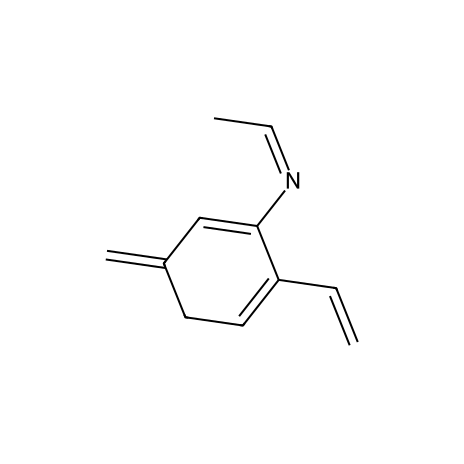 C=CC1=CCC(=C)C=C1/N=C\C